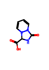 O=C(O)C1NC(=O)N2C=CC=CN12